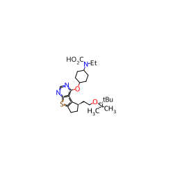 CCN(C(=O)O)C1CCC(Oc2ncnc3sc4c(c23)[C@@H](CCO[Si](C)(C)C(C)(C)C)CC4)CC1